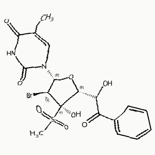 Cc1cn([C@@H]2O[C@H](C(O)C(=O)c3ccccc3)[C@@](O)(S(C)(=O)=O)[C@H]2Br)c(=O)[nH]c1=O